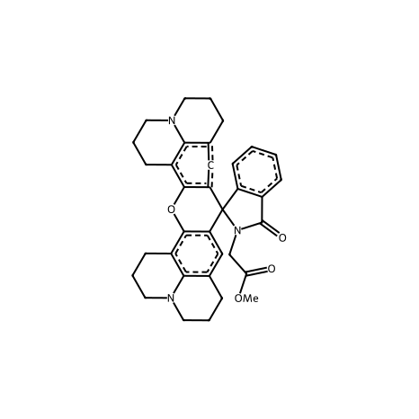 COC(=O)CN1C(=O)c2ccccc2C12c1cc3c4c(c1Oc1c2cc2c5c1CCCN5CCC2)CCCN4CCC3